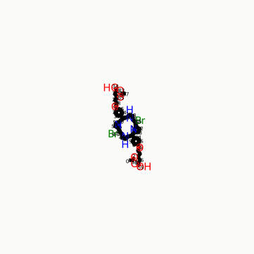 CCOC(CCOc1ccc(-c2c3nc(c(Br)c4ccc([nH]4)c(-c4ccc(OCCC(CC(=O)O)OCC)cc4)c4nc(c(Br)c5ccc2[nH]5)C=C4)C=C3)cc1)CC(=O)O